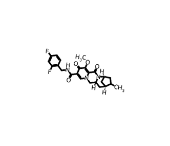 COc1c2n(cc(C(=O)NCc3ccc(F)cc3F)c1=O)C[C@H]1C[C@H]3C[C@H](CC3C)N1C2=O